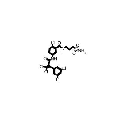 NS(=O)(=O)CCCNC(=O)c1cc(NC(=O)C2C(c3cc(Cl)cc(Cl)c3)C2(Cl)Cl)ccc1Cl